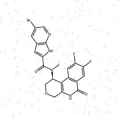 CN(C(=O)c1cc2cc(Br)cnc2[nH]1)[C@@H]1COCc2[nH]c(=O)c3cc(F)c(F)cc3c21